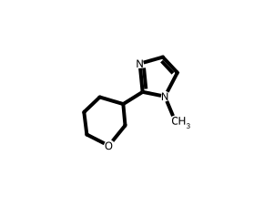 Cn1ccnc1C1CCCOC1